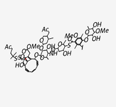 COC(=O)CC1=C2/C(=C/CSSC(C)(C)CCC(C)=O)[C@](O)(C#C/C=C\C#C[C@@H]2OC2OC(C)C(NOC3CC(O)C(SC(=O)c4c(C)c(I)c(OC5OC(C)C(O)C(OC)C5O)c(C)c4OC)C(C)O3)C(O)C2OC2CC(C)C(CC(C)=O)CO2)CC1=O